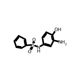 Nc1cc(NS(=O)(=O)c2ccccc2)ccc1O